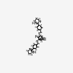 Cl.Cl.Fc1c(SCc2ccc(C3=NCCCN3)cc2)cccc1SCc1ccc(C2=NCCCN2)cc1